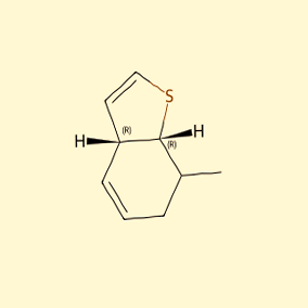 CC1CC=C[C@@H]2C=CS[C@H]12